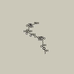 CCCNc1ccc(C(=O)NCCCCC(NC(=O)COCCOCCNC(=O)CCC(NC(=O)CCC(NC(=O)CCCSNC)C(=O)O)C(=O)O)C(=O)NC)cc1